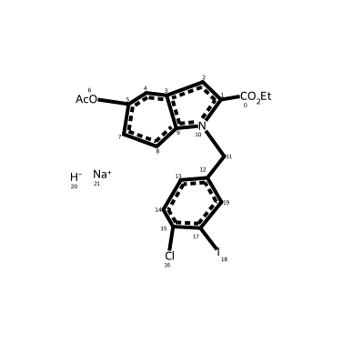 CCOC(=O)c1cc2cc(OC(C)=O)ccc2n1Cc1ccc(Cl)c(I)c1.[H-].[Na+]